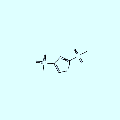 CS(=O)(=O)c1cc(S(=O)(=O)Cl)cs1